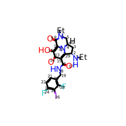 CCN[C@H]1C[C@@H]2CN(CC)C(=O)c3c(O)c(=O)c(C(=O)NCc4ccc(F)c(I)c4F)c1n32